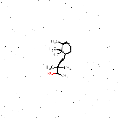 CC1=CCCC(C=CC(C)(C)C(C)O)C1(C)C